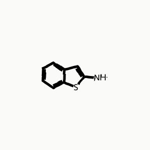 [NH]c1cc2ccccc2s1